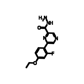 CCOc1ccc(-c2cncc(C(=O)NN)n2)c(F)c1